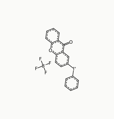 F[B-](F)(F)F.O=c1c2ccccc2oc2ccc([I+]c3ccccc3)cc12